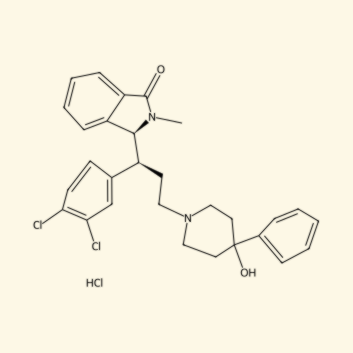 CN1C(=O)c2ccccc2[C@@H]1[C@@H](CCN1CCC(O)(c2ccccc2)CC1)c1ccc(Cl)c(Cl)c1.Cl